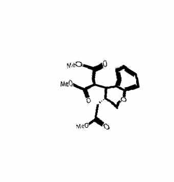 COC(=O)C[C@H]1COc2ccccc2C1C(C(=O)OC)C(=O)OC